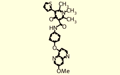 COc1cnc2c(Oc3ccc(NC(=O)c4c(C)n(C)c(C)c(-c5cccs5)c4=O)cc3)ccnc2c1